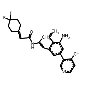 C=Cc1c(N)cc(-c2cnccc2C)cc1/C=C(\C)NC(=O)C=C1CCC(F)(F)CC1